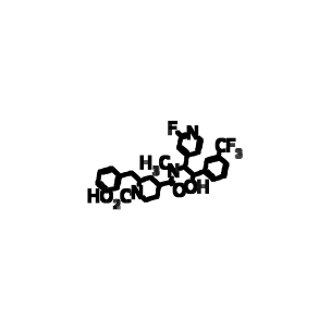 CN(C(=O)C1CCN(C(=O)O)C(Cc2ccccc2)C1)C(c1ccnc(F)c1)C(O)c1cccc(C(F)(F)F)c1